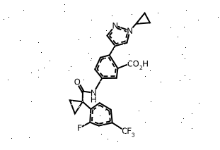 O=C(O)c1cc(NC(=O)C2(c3ccc(C(F)(F)F)cc3F)CC2)ccc1-c1cnn(C2CC2)c1